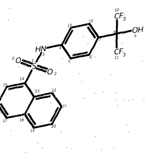 O=S(=O)(Nc1ccc(C(O)(C(F)(F)F)C(F)(F)F)cc1)c1cccc2ccccc12